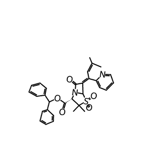 CC(C)=C/C(=C1\C(=O)N2C1S(=O)(=O)C(C)(C)[C@@H]2C(=O)OC(c1ccccc1)c1ccccc1)c1ccccn1